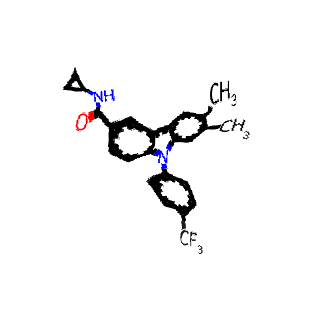 Cc1cc2c3cc(C(=O)NC4CC4)ccc3n(-c3ccc(C(F)(F)F)cc3)c2cc1C